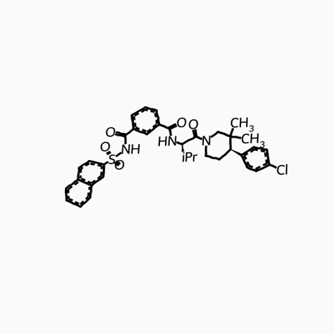 CC(C)[C@@H](NC(=O)c1cccc(C(=O)NS(=O)(=O)c2ccc3ccccc3c2)c1)C(=O)N1CC[C@H](c2ccc(Cl)cc2)C(C)(C)C1